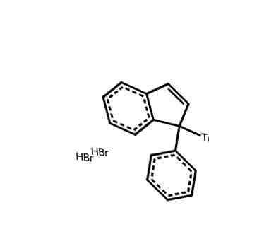 Br.Br.[Ti][C]1(c2ccccc2)C=Cc2ccccc21